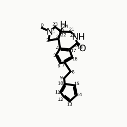 CN1CC2c3ccc(CCc4ccccc4)cc3C(=O)NC[C@H]2C1